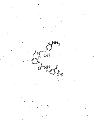 CC(Cc1cccc(CC(=O)NCc2ccc(C(F)(F)F)c(F)c2)c1)NC[C@@H](O)c1ccc(N)nc1